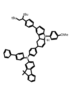 COc1ccc(N2c3ccc(-c4ccc(C(CC(C)(C)C)C(C)(C)C)cc4)cc3C3CC(c4ccc(N(c5ccc(-c6ccccc6)cc5)c5ccc6c(c5)C(C)(C)c5ccccc5-6)cc4)C=C[C@@H]32)cc1